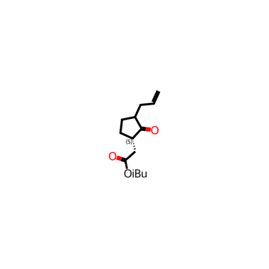 C=CCC1CC[C@@H](CC(=O)OCC(C)C)C1=O